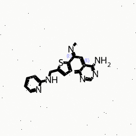 C=c1ncnc(N)/c1=C/C(=N\C)c1ccc(CNc2ccccn2)s1